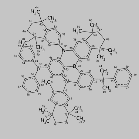 Cc1cc2c(cc1N1c3ccc(C(C)(C)c4ccccc4)cc3B3c4cc5c(cc4N(c4ccc6c(c4)C(C)(C)CCC6(C)C)c4cc(N(c6ccccc6)c6ccccc6)cc1c43)C(C)(C)CCC5(C)C)C(C)(C)CCC2(C)C